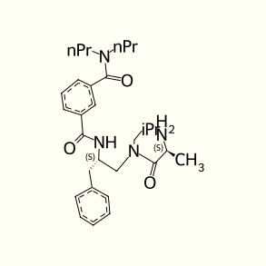 CCCN(CCC)C(=O)c1cccc(C(=O)N[C@@H](Cc2ccccc2)CN(CC(C)C)C(=O)[C@H](C)N)c1